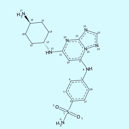 NS(=O)(=O)c1ccc(Nc2cc(N[C@H]3CC[C@H](N)CC3)nc3ncnn23)cc1